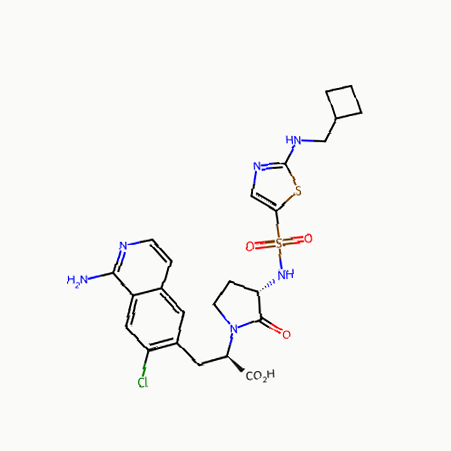 Nc1nccc2cc(C[C@H](C(=O)O)N3CC[C@H](NS(=O)(=O)c4cnc(NCC5CCC5)s4)C3=O)c(Cl)cc12